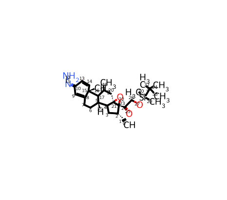 C#C[C@@H]1CC2[C@@H]3CCC4=C/C(=N/N)C=C[C@]4(C)C3[C@@H](C)C[C@@]23O[C@]13C(=O)CO[Si](C)(C)C(C)(C)C